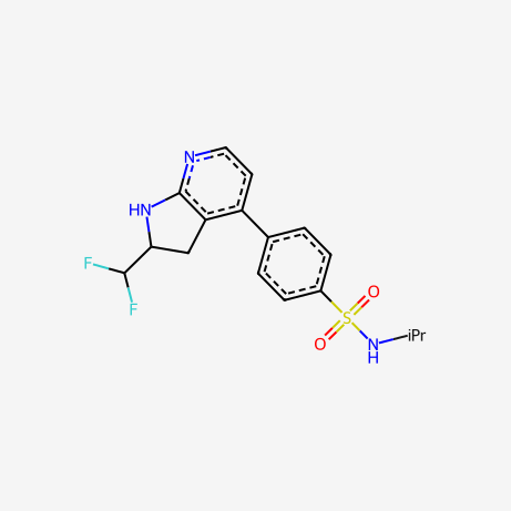 CC(C)NS(=O)(=O)c1ccc(-c2ccnc3c2CC(C(F)F)N3)cc1